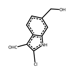 O=Cc1c(Cl)[nH]c2cc(CO)ccc12